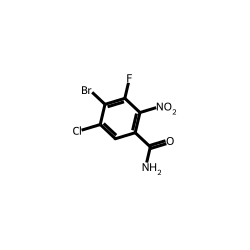 NC(=O)c1cc(Cl)c(Br)c(F)c1[N+](=O)[O-]